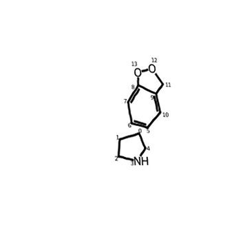 C1CCNC1.c1ccc2c(c1)COO2